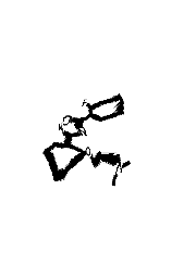 CN(C)CCOc1ccccc1-c1noc(-c2ccccc2F)n1